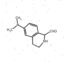 CN(C)c1ccc2c(c1)CCNC2C=O